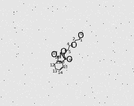 O=CCOCCON1C(=O)C2=C(CCC=C2)C1=O